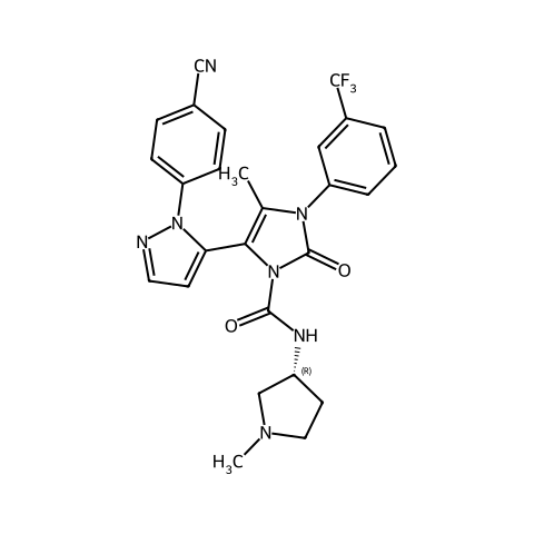 Cc1c(-c2ccnn2-c2ccc(C#N)cc2)n(C(=O)N[C@@H]2CCN(C)C2)c(=O)n1-c1cccc(C(F)(F)F)c1